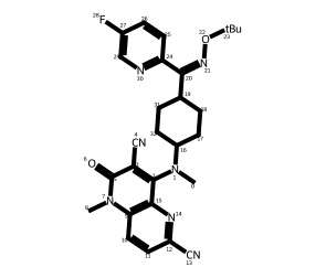 CN(c1c(C#N)c(=O)n(C)c2ccc(C#N)nc12)C1CCC(/C(=N/OC(C)(C)C)c2ccc(F)cn2)CC1